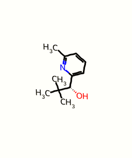 Cc1cccc([C@H](O)C(C)(C)C)n1